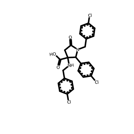 O=C1CC(NCc2ccc(Cl)cc2)(C(=O)O)C(c2ccc(Cl)cc2)N1Cc1ccc(Cl)cc1